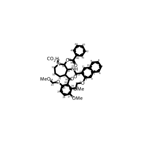 COCOc1cc2ccccc2cc1C(=O)NC1C(C(=O)c2c(OCOC)ccc(OC)c2F)CCCN(C(=O)O)C1OC(=O)c1ccccc1